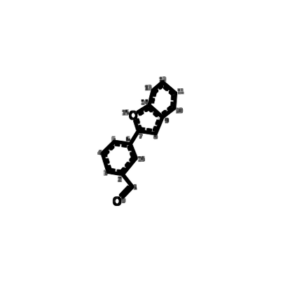 O=Cc1cccc(-c2cc3ccccc3o2)c1